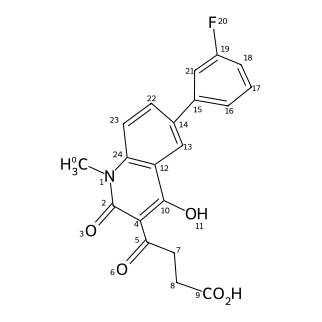 Cn1c(=O)c(C(=O)CCC(=O)O)c(O)c2cc(-c3cccc(F)c3)ccc21